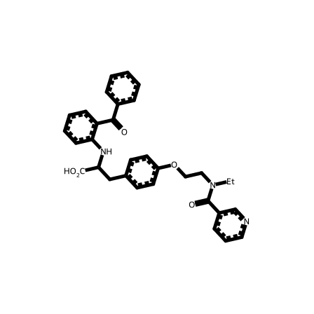 CCN(CCOc1ccc(CC(Nc2ccccc2C(=O)c2ccccc2)C(=O)O)cc1)C(=O)c1cccnc1